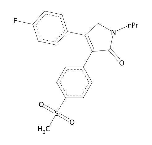 CCCN1CC(c2ccc(F)cc2)=C(c2ccc(S(C)(=O)=O)cc2)C1=O